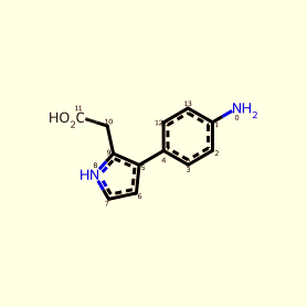 Nc1ccc(-c2cc[nH]c2CC(=O)O)cc1